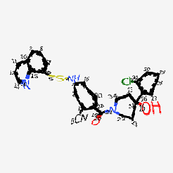 N#Cc1cc(NSc2cccc3cccnc23)ccc1C(=O)N1CCC(O)(c2ccccc2Cl)CC1